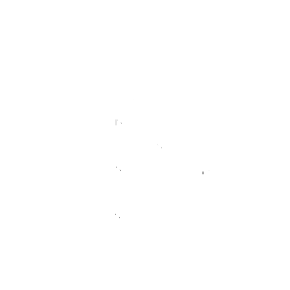 CCCc1cc(N2CCCCC2C)nc(Nc2ccc(F)cc2)n1